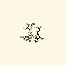 C=C(C)CCc1nc(N)c2[nH]cnc2n1.O=P(O)(O)OP(=O)(O)OP(=O)(O)OC[C@H]1OC(O)[C@H](O)[C@@H]1O